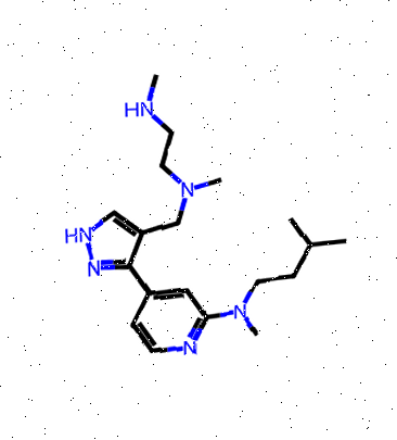 CNCCN(C)Cc1c[nH]nc1-c1ccnc(N(C)CCC(C)C)c1